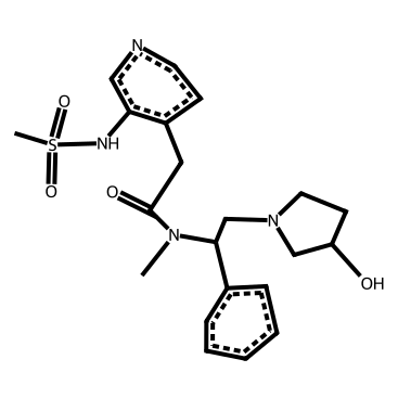 CN(C(=O)Cc1ccncc1NS(C)(=O)=O)C(CN1CCC(O)C1)c1ccccc1